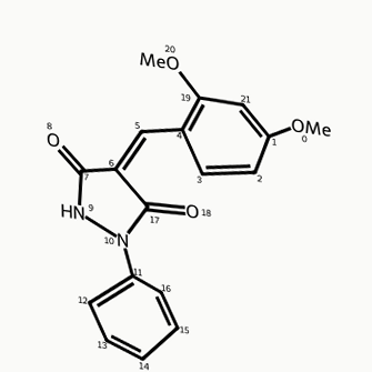 COc1ccc(/C=C2/C(=O)NN(c3ccccc3)C2=O)c(OC)c1